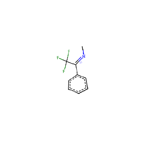 C/N=C(/c1ccccc1)C(F)(F)F